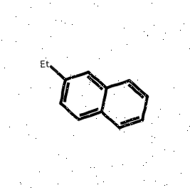 CCc1ccc2[c]cccc2c1